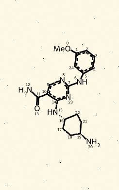 COc1cccc(Nc2ncc(C(N)=O)c(N[C@H]3CC[C@H](N)CC3)n2)c1